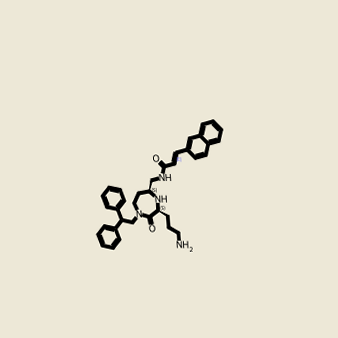 NCCC[C@@H]1N[C@H](CNC(=O)/C=C/c2ccc3ccccc3c2)CCN(CC(c2ccccc2)c2ccccc2)C1=O